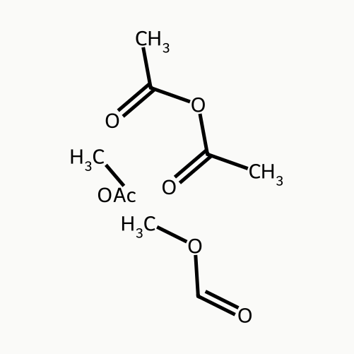 CC(=O)OC(C)=O.COC(C)=O.COC=O